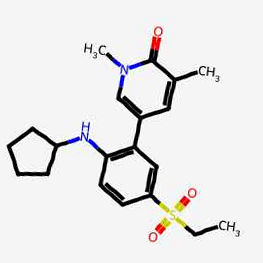 CCS(=O)(=O)c1ccc(NC2CCCC2)c(-c2cc(C)c(=O)n(C)c2)c1